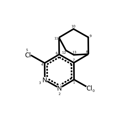 Clc1nnc(Cl)c2c1C1CCC2CC1